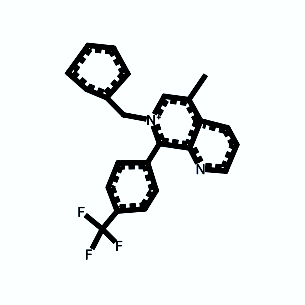 Cc1c[n+](Cc2ccccc2)c(-c2ccc(C(F)(F)F)cc2)c2ncccc12